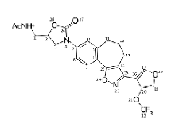 CC(=O)NCC1CN(c2ccc3c(c2)CCCc2c(-c4cocc4OC(F)(F)F)noc2-3)C(=O)O1